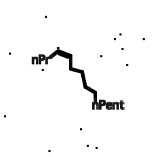 CCC/[C]=C\CCCCCCCCC